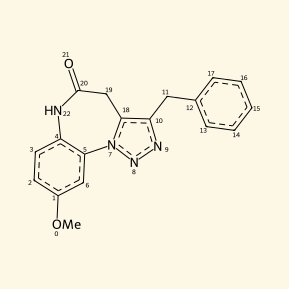 COc1ccc2c(c1)-n1nnc(Cc3ccccc3)c1CC(=O)N2